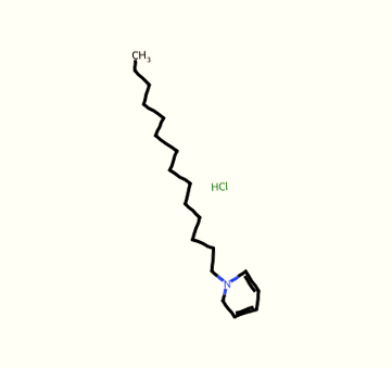 CCCCCCCCCCCCCCN1C=CC=CC1.Cl